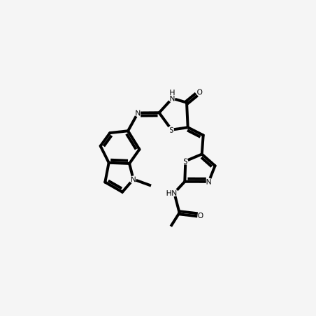 CC(=O)Nc1ncc(/C=C2\SC(=Nc3ccc4ccn(C)c4c3)NC2=O)s1